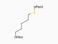 CCCCCCCCCCCSCCCCC